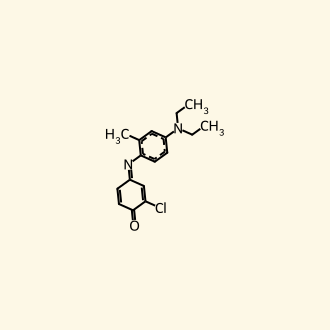 CCN(CC)c1ccc(N=C2C=CC(=O)C(Cl)=C2)c(C)c1